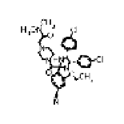 CCOc1cc(C#N)ccc1C1(C(=O)N2CCN(CC(=O)N(C)C)CC2)N[C@H](c2ccc(Cl)cc2)[C@H](c2ccc(Cl)cc2)N1